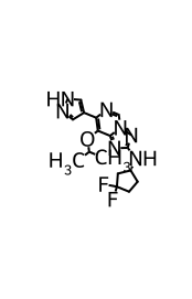 CC(C)Oc1c(-c2cn[nH]c2)ncn2nc(N[C@H]3CCC(F)(F)C3)nc12